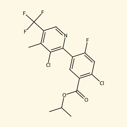 Cc1c(C(F)(F)F)cnc(-c2cc(C(=O)OC(C)C)c(Cl)cc2F)c1Cl